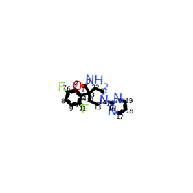 NC(=O)C1(c2cc(F)ccc2F)CCN(c2ncccn2)CC1